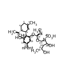 C=C(C)[C@@H]1CCC(C)=C[C@H]1c1c(O)cc(CCCCC)cc1O/C(=N\C)OC1[C@@H]([C@@H](C)O)C(O)N1S(=O)(=O)O